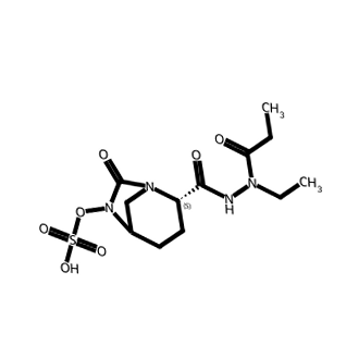 CCC(=O)N(CC)NC(=O)[C@@H]1CCC2CN1C(=O)N2OS(=O)(=O)O